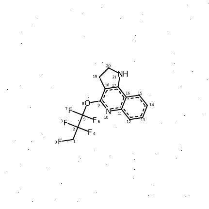 FCC(F)(F)C(F)(F)Oc1nc2ccccc2c2c1CCN2